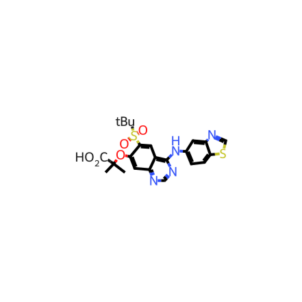 CC(C)(Oc1cc2ncnc(Nc3ccc4scnc4c3)c2cc1S(=O)(=O)C(C)(C)C)C(=O)O